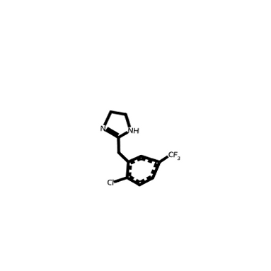 FC(F)(F)c1ccc(Cl)c(CC2=NCCN2)c1